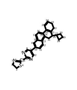 C1=NCCS1.Clc1ncc(-c2ccc3c4c(ccc3c2)C2=C(CCC=C2)C(C2CCC2)C4)cn1